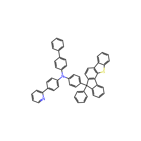 c1ccc(-c2ccc(N(c3ccc(-c4ccccn4)cc3)c3ccc(C4(c5ccccc5)c5ccccc5-c5c4ccc4c5sc5ccccc54)cc3)cc2)cc1